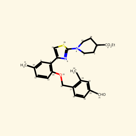 CCOC(=O)C1CCN(c2nc(-c3cc(C)ccc3OCc3ccc(C=O)cc3C)cs2)CC1